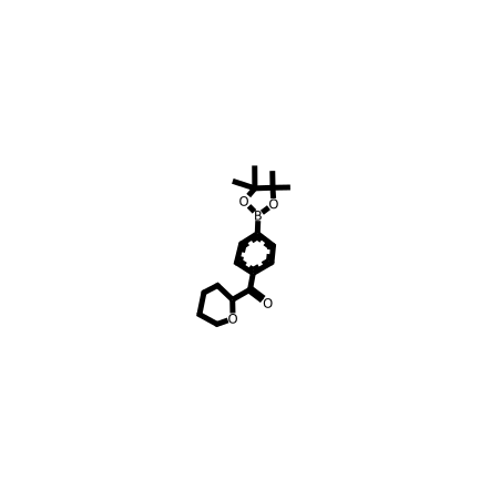 CC1(C)OB(c2ccc(C(=O)C3CCCCO3)cc2)OC1(C)C